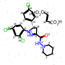 O=C(NN1CCCCC1)C1=NN(c2ccc(Cl)cc2Cl)[C@H](c2ccc(Cl)cc2)C1.O=C(O)C=CC(=O)O